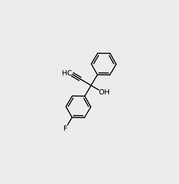 C#CC(O)(c1ccccc1)c1ccc(F)cc1